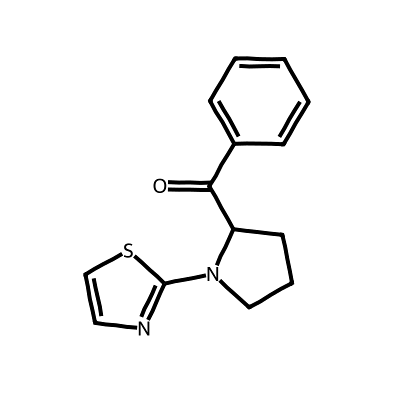 O=C(c1ccccc1)C1CCCN1c1nccs1